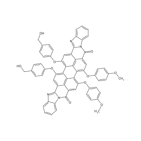 COc1ccc(Oc2cc3c(=O)n4c5ccccc5nc4c4cc(Oc5ccc(CO)cc5)c5c6c(Oc7ccc(CO)cc7)cc7c8c(cc(Oc9ccc(OC)cc9)c(c2c5c34)c68)c(=O)n2c3ccccc3nc72)cc1